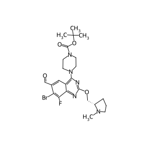 CN1CCC[C@H]1COc1nc(N2CCN(C(=O)OC(C)(C)C)CC2)c2cc(C=O)c(Br)c(F)c2n1